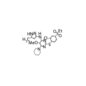 CCS(=O)(=O)c1ccc(Sc2nc(Nc3cc(C)[nH]n3)c(OC)c(N3CCCCC3)n2)c(Cl)c1